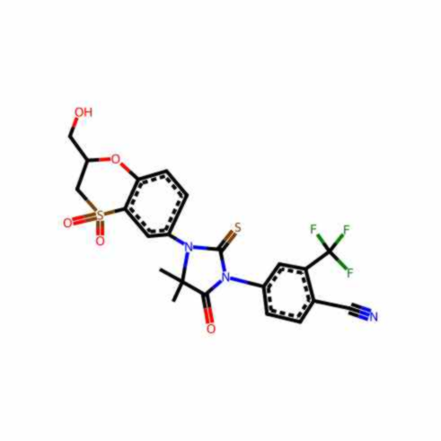 CC1(C)C(=O)N(c2ccc(C#N)c(C(F)(F)F)c2)C(=S)N1c1ccc2c(c1)S(=O)(=O)CC(CO)O2